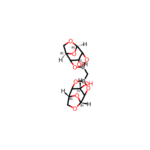 O[C@@H]1C2OB(CB3OC4[C@@H]5OC[C@@H](O5)C(O3)[C@@H]4O)OC1[C@H]1CO[C@@H]2O1